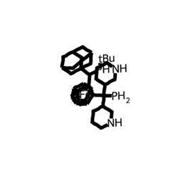 CC(C)(C)PC(C12CC3CC(CC(C3)C1)C2)[C]12[CH]3[CH]4[CH]5[C]1(C(P)(C1CCCNC1)C1CCCNC1)[Fe]43521678[CH]2[CH]1[CH]6[CH]7[CH]28